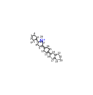 Cc1ccccc1-c1ccc(-c2ccc(C3CCC4CCCCC4C3)cc2)c[n+]1C